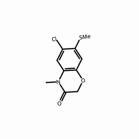 CSc1cc2c(cc1Cl)N(C)C(=O)CO2